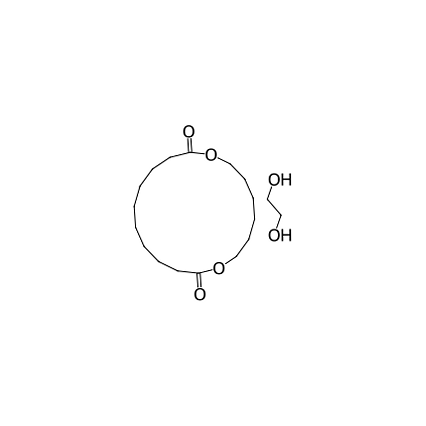 O=C1CCCCCCCCC(=O)OCCCCCCO1.OCCO